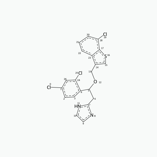 Clc1ccc(C(Cc2ncc[nH]2)OCc2csc3c(Cl)cccc23)c(Cl)c1